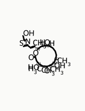 CC(=Cc1csc(CO)n1)[C@@H]1C[C@@H]2O[C@@H]2CCC[C@H](C)[C@H](O)[C@@H](C)C(=O)C(C)(C)[C@@H](O)CC(=O)O1